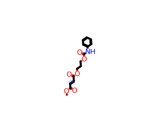 COC(=O)/C=C/C(=O)OCCCOC(=O)Nc1ccccc1